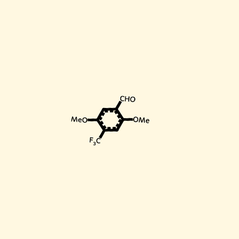 COc1cc(C(F)(F)F)c(OC)cc1C=O